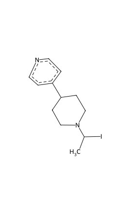 CC(I)N1CCC(c2ccncc2)CC1